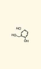 Cl.OCc1ccccc1O